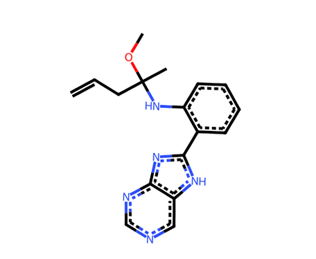 C=CCC(C)(Nc1ccccc1-c1nc2ncncc2[nH]1)OC